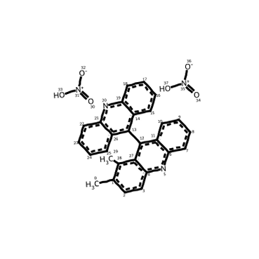 Cc1ccc2nc3ccccc3c(-c3c4ccccc4nc4ccccc34)c2c1C.O=[N+]([O-])O.O=[N+]([O-])O